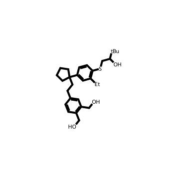 CCc1cc(C2(CCc3ccc(CO)c(CO)c3)CCCC2)ccc1SCC(O)C(C)(C)C